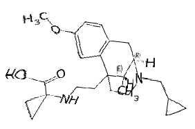 COc1ccc2c(c1)C1(CCNC3(C(=O)O)CC3)CCN(CC3CC3)[C@H](C2)[C@@H]1C